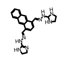 C(=N\NC1=NCCN1)/c1ccc(/C=N/NC2NCCN2)c2cc3ccccc3cc12